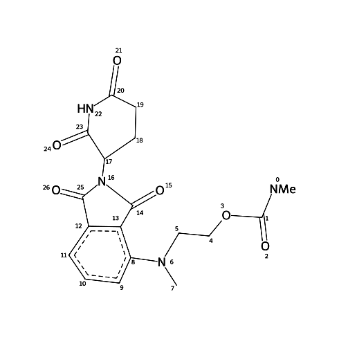 CNC(=O)OCCN(C)c1cccc2c1C(=O)N(C1CCC(=O)NC1=O)C2=O